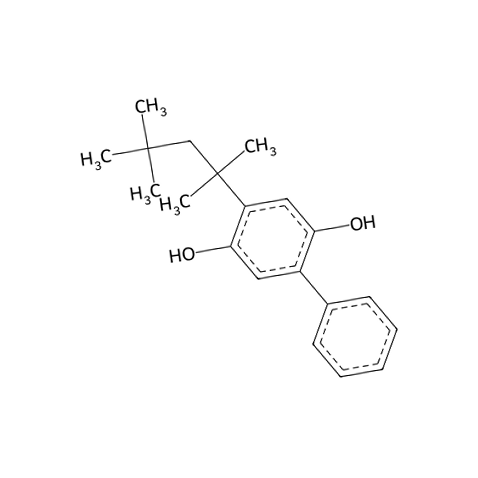 CC(C)(C)CC(C)(C)c1cc(O)c(-c2ccccc2)cc1O